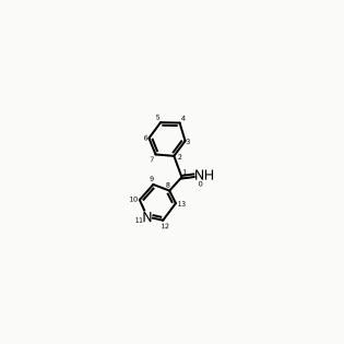 N=C(c1ccccc1)c1ccncc1